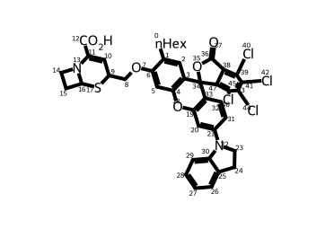 CCCCCCc1cc2c(cc1OCC1C=C(C(=O)O)N3CCC3S1)Oc1cc(N3CCc4ccccc43)ccc1C21OC(=O)c2c(Cl)c(Cl)c(Cl)c(Cl)c21